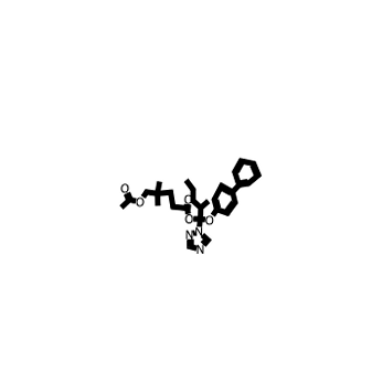 CCCC(C)C(OC(=O)CCC(C)(C)COC(C)=O)(Oc1ccc(-c2ccccc2)cc1)n1cncn1